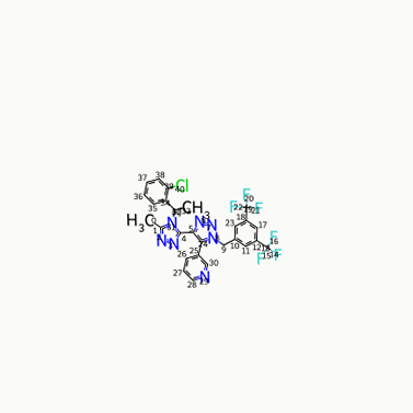 Cc1nnc(-c2nnn(Cc3cc(C(F)(F)F)cc(C(F)(F)F)c3)c2-c2cccnc2)n1[C@H](C)c1ccccc1Cl